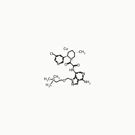 C[C@H]1CC[C@H](c2cncc(Cl)c2)N(C(=O)C(=O)Nc2cnc(N)c3cnn(COCC[Si](C)(C)C)c23)C1.[Cu]